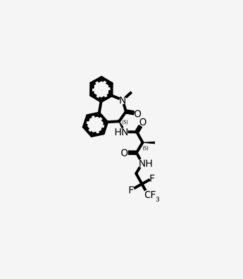 C[C@@H](C(=O)NCC(F)(F)C(F)(F)F)C(=O)N[C@@H]1C(=O)N(C)c2ccccc2-c2ccccc21